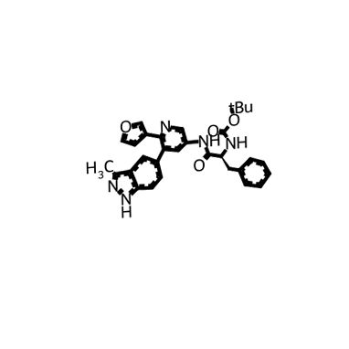 Cc1n[nH]c2ccc(-c3cc(NC(=O)[C@H](Cc4ccccc4)NC(=O)OC(C)(C)C)cnc3-c3ccoc3)cc12